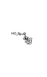 CN(CCN1CCC1C=CS(=O)(=O)NC(=O)Nc1c2c(cc3c1CCC3)CCC2)C(=O)O